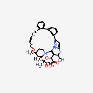 Cc1nc2cc3nn2c(c1[C@H](OC(C)(C)C)C(=O)O)N1CCC(C)(CC1)OCC=CCCc1ccccc1-c1cccc-3c1